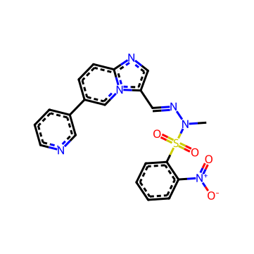 CN(N=Cc1cnc2ccc(-c3cccnc3)cn12)S(=O)(=O)c1ccccc1[N+](=O)[O-]